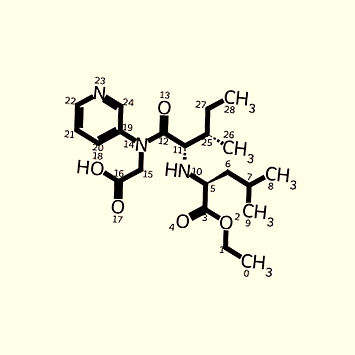 CCOC(=O)[C@H](CC(C)C)N[C@H](C(=O)N(CC(=O)O)c1cccnc1)[C@@H](C)CC